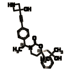 C[C@@H](c1ccc(C#CC2(O)CNC2)cc1)N1CC[C@](CC(C)(C)O)(c2ccccc2)OC1=O